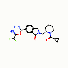 N=C(OC(N)c1ccc2c(c1)C(=O)N(C[C@H]1CCCCN1C(=O)C1CC1)C2)C(F)F